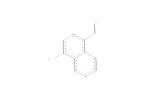 CC(C)Cc1ccc(C=O)c2ccccc12